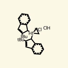 CC(C)(C)C1=Cc2ccccc2[CH]1[Hf]1([CH]2C(C(C)(C)C)=Cc3ccccc32)[CH2][CH2]1.Cl.Cl